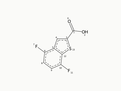 O=C(O)c1cc2c(F)ccc(F)c2s1